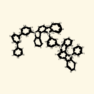 C1=CCC2C(=C1)c1c(ccc3c4ccccc4n(-c4cccc(-n5c6ccccc6c6c7c(ccc65)c5c(n7-c6ccccc6)CCC=C5)c4)c13)N2c1cccc(-c2cccc(-c3ccccc3)n2)c1